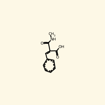 CNC(=O)C(=Cc1ccccc1)C(=O)O